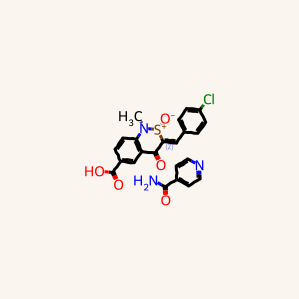 CN1c2ccc(C(=O)O)cc2C(=O)/C(=C/c2ccc(Cl)cc2)[S+]1[O-].NC(=O)c1ccncc1